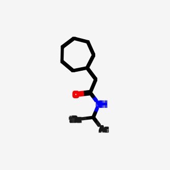 CC(=O)C(NC(=O)CC1CCCCCC1)C(C)(C)C